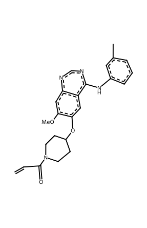 C=CC(=O)N1CCC(Oc2cc3c(Nc4cccc(C)c4)ncnc3cc2OC)CC1